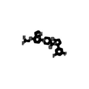 O=C1N2C(CCC2c2cc(F)cc(F)c2)OC12CCN(c1ccc(OCC(F)F)c3ccnn13)CC2